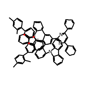 Cc1ccc(-c2ccc3c(c2)c2cc(-c4ccc(C)cc4C)ccc2n3-c2c(-c3ccccc3-n3c4ccccc4c4ccccc43)cc(-c3nc(C4=CCCC=C4)cc(-c4ccccc4)n3)cc2-c2ccccc2-n2c3ccccc3c3ccccc32)c(C)c1